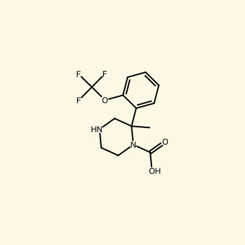 CC1(c2ccccc2OC(F)(F)F)CNCCN1C(=O)O